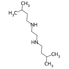 CC(C)CCNCCNCCC(C)C